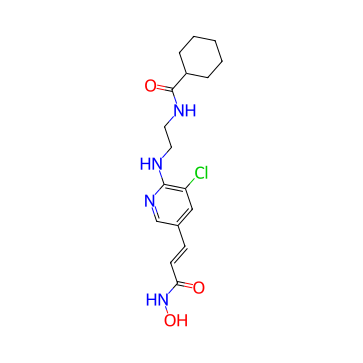 O=C(/C=C/c1cnc(NCCNC(=O)C2CCCCC2)c(Cl)c1)NO